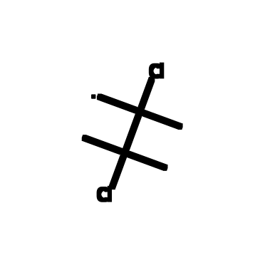 [CH2]C(C)(Cl)C(C)(C)Cl